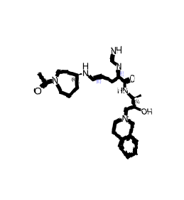 CC(=O)N1CCC[C@@H](N/C=C/C/C(=N\C=N)C(=O)N[C@@H](C)C(O)CN2CCc3ccccc3C2)CC1